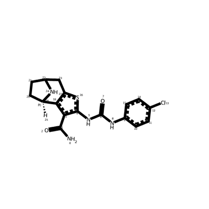 NC(=O)c1c(NC(=O)Nc2ccc(Cl)cc2)sc2c1[C@H]1CCC(C2)N1